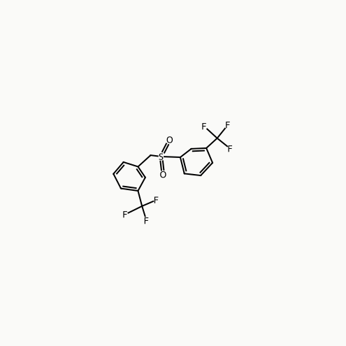 O=S(=O)(Cc1cccc(C(F)(F)F)c1)c1cccc(C(F)(F)F)c1